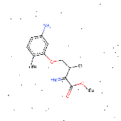 CCCCc1ccc(N)cc1OCC(CC)C(=N)C(=O)OC(C)(C)C